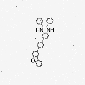 c1ccc(C2Nc3ccc(-c4ccc(-c5ccc6oc7ccccc7c6c5)cc4)cc3NC2c2ccccc2)cc1